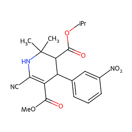 COC(=O)C1=C(C#N)NC(C)(C)C(C(=O)OC(C)C)C1c1cccc([N+](=O)[O-])c1